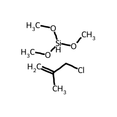 C=C(C)CCl.CO[SiH](OC)OC